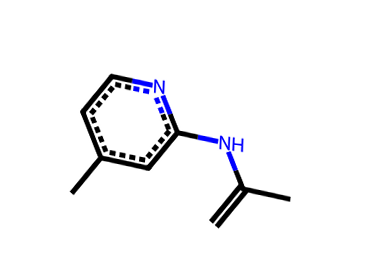 C=C(C)Nc1cc(C)ccn1